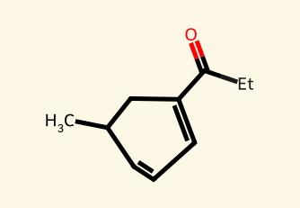 CCC(=O)C1=CC=CC(C)C1